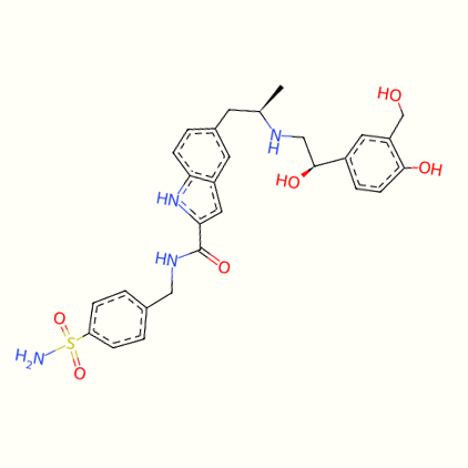 C[C@H](Cc1ccc2[nH]c(C(=O)NCc3ccc(S(N)(=O)=O)cc3)cc2c1)NC[C@H](O)c1ccc(O)c(CO)c1